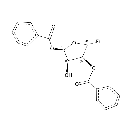 CC[C@H]1O[C@H](OC(=O)c2ccccc2)[C@H](O)[C@@H]1OC(=O)c1ccccc1